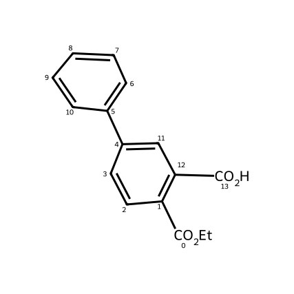 CCOC(=O)c1ccc(-c2ccccc2)cc1C(=O)O